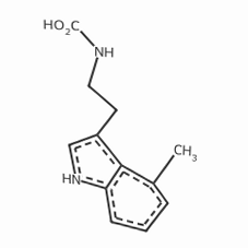 Cc1cccc2[nH]cc(CCNC(=O)O)c12